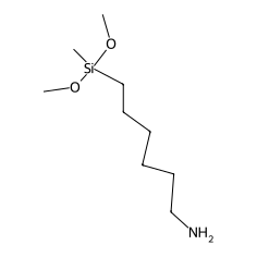 CO[Si](C)(CCCCCCN)OC